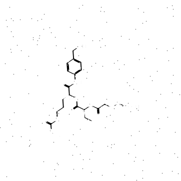 CC(C)C[C@H](NC(=O)CONC(=O)O)C(=O)N[C@@H](CCCNC(N)=O)C(=O)Nc1ccc(CO)cc1